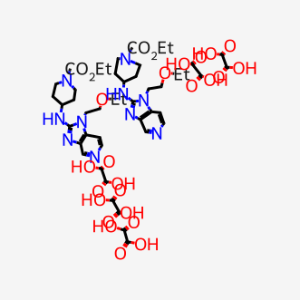 CCOCCn1c(NC2CCN(C(=O)OCC)CC2)nc2cnccc21.CCOCCn1c(NC2CCN(C(=O)OCC)CC2)nc2cnccc21.O=C(O)C(=O)O.O=C(O)C(=O)O.O=C(O)C(=O)O.O=C(O)C(=O)O.O=C(O)C(=O)O